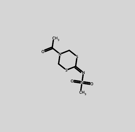 CC(=O)N1CSC(=NS(C)(=O)=O)SC1